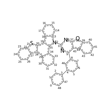 c1ccc(-c2cccc(-c3nc(-n4c5ccccc5c5c6sc7ccccc7c6c6ccccc6c54)nc4oc5ccccc5c34)c2)cc1